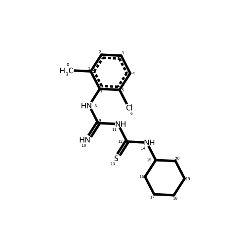 Cc1cccc(Cl)c1NC(=N)NC(=S)NC1CCCCC1